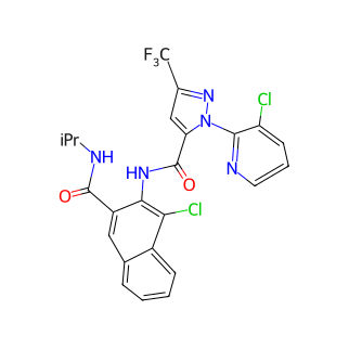 CC(C)NC(=O)c1cc2ccccc2c(Cl)c1NC(=O)c1cc(C(F)(F)F)nn1-c1ncccc1Cl